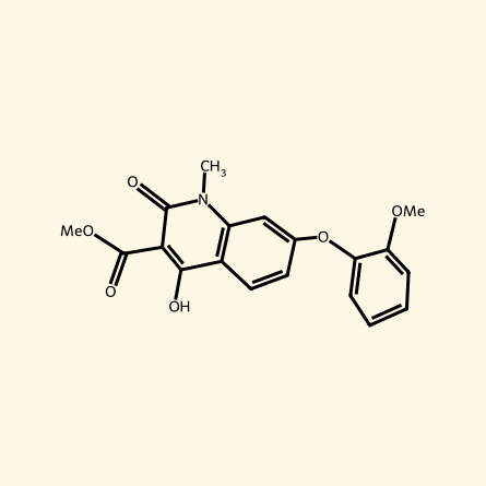 COC(=O)c1c(O)c2ccc(Oc3ccccc3OC)cc2n(C)c1=O